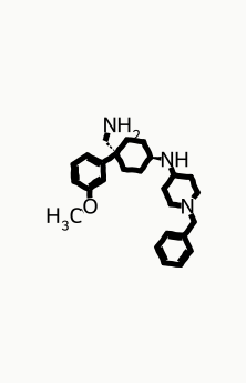 COc1cccc([C@]2(CN)CC[C@H](NC3CCN(Cc4ccccc4)CC3)CC2)c1